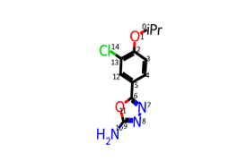 CC(C)Oc1ccc(-c2nnc(N)o2)cc1Cl